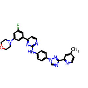 Cc1ccnc(-c2ncn(-c3ccc(Nc4nccc(-c5cc(F)cc(N6CCOCC6)c5)n4)cc3)n2)c1